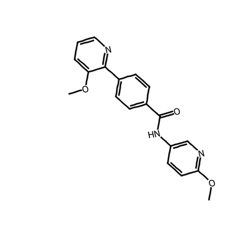 COc1ccc(NC(=O)c2ccc(-c3ncccc3OC)cc2)cn1